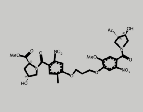 COC(=O)[C@@H]1C[C@@H](O)CN1C(=O)c1cc(C)c(OCCCOc2cc([N+](=O)[O-])c(C(=O)N3C[C@H](C(C)=O)[C@@H](O)C3)cc2OC)cc1[N+](=O)[O-]